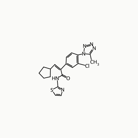 Cc1nnnn1-c1ccc(C(=CC2CCCC2)C(=O)Nc2nccs2)cc1Cl